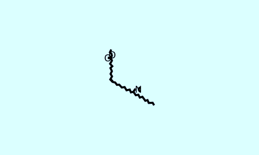 CCCCCCCCCC(CCCCCCCC/C=C\CCCCCCCC(=O)OCC)CN(C)C